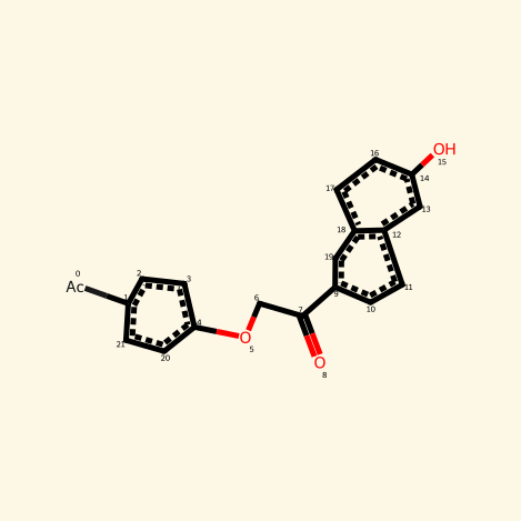 CC(=O)c1ccc(OCC(=O)c2ccc3cc(O)ccc3c2)cc1